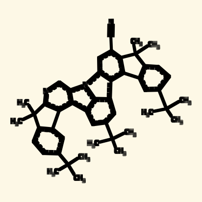 CC(C)(C)c1ccc2c(c1)-c1c(ncc3c1c1cc(C(C)(C)C)cc4c5c6c(c(C#N)cc5n3c14)C(C)(C)c1ccc(C(C)(C)C)cc1-6)C2(C)C